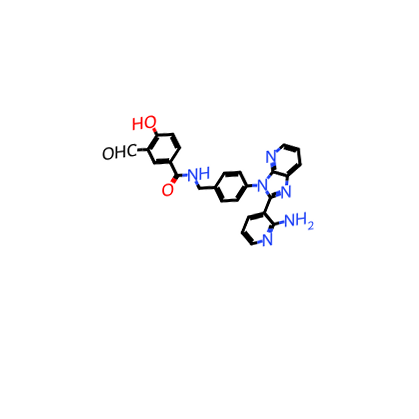 Nc1ncccc1-c1nc2cccnc2n1-c1ccc(CNC(=O)c2ccc(O)c(C=O)c2)cc1